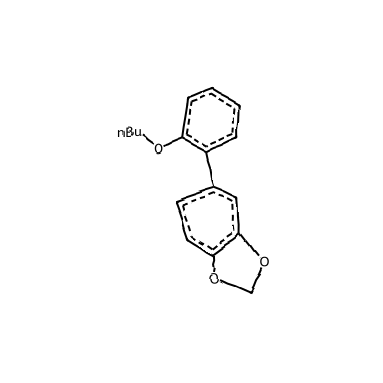 CCCCOc1ccccc1-c1ccc2c(c1)OCO2